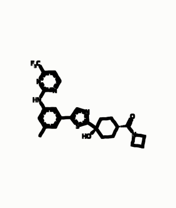 Cc1cc(Nc2nccc(C(F)(F)F)n2)cc(-c2cnc([C@]3(O)CC[C@H](C(=O)N4CCC4)CC3)s2)c1